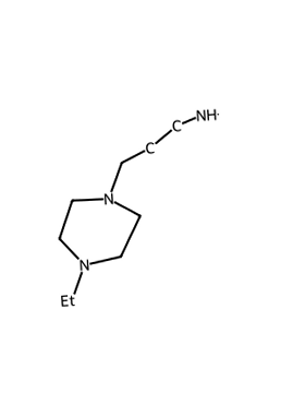 CCN1CCN(CCC[NH])CC1